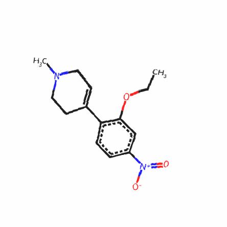 CCOc1cc([N+](=O)[O-])ccc1C1=CCN(C)CC1